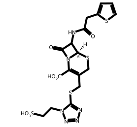 O=C(Cc1cccs1)NC1C(=O)N2C(C(=O)O)=C(CSc3nnnn3CCS(=O)(=O)O)CS[C@H]12